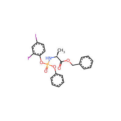 C[C@H](NP(=O)(Oc1ccccc1)Oc1ccc(I)cc1I)C(=O)OCc1ccccc1